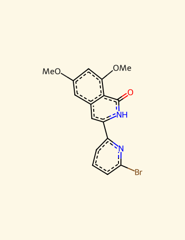 COc1cc(OC)c2c(=O)[nH]c(-c3cccc(Br)n3)cc2c1